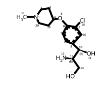 CN1CCC(Oc2ccc([C@@H](O)[C@H](N)CO)cc2Cl)CC1